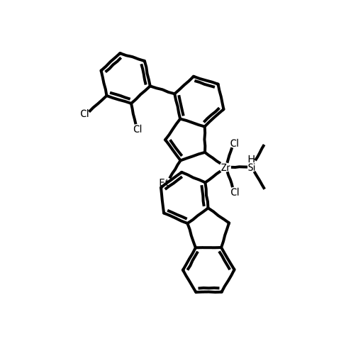 CCC1=Cc2c(-c3cccc(Cl)c3Cl)cccc2[CH]1[Zr]([Cl])([Cl])([c]1cccc2c1Cc1ccccc1-2)[SiH](C)C